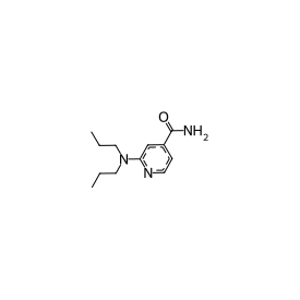 CCCN(CCC)c1cc(C(N)=O)ccn1